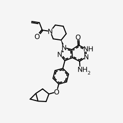 C=CC(=O)N1CCC[C@@H](n2nc(-c3ccc(OC4CC5CC5C4)cc3)c3c(N)n[nH]c(=O)c32)C1